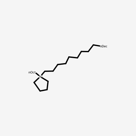 CCCCCCCCCCCCCCCCCCC[N+]1(CCCCCCCC)CCCC1